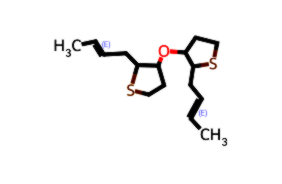 C/C=C/CC1SCCC1OC1CCSC1C/C=C/C